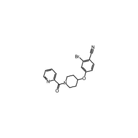 N#Cc1ccc(OC2CCN(C(=O)c3ccccn3)CC2)cc1Br